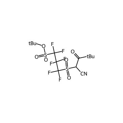 CC(C)(C)OS(=O)(=O)C(F)(F)C(F)(F)C(F)(F)S(=O)(=O)C(C#N)C(=O)C(C)(C)C